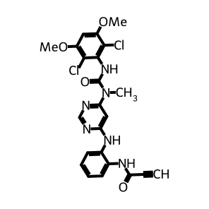 C#CC(=O)Nc1ccccc1Nc1cc(N(C)C(=O)Nc2c(Cl)c(OC)cc(OC)c2Cl)ncn1